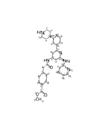 COC(=O)c1ccc(CC(=O)Nc2cc(Nc3cnccn3)nc(-c3ccnc(N4CCNCC4)c3)c2)cc1